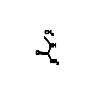 C.CNC(N)=O